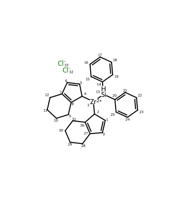 C1=C[CH]([Zr+2]([CH]2C=CC3=C2CCCC3)[SiH](c2ccccc2)c2ccccc2)C2=C1CCCC2.[Cl-].[Cl-]